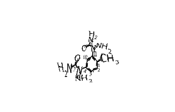 Cc1c[c]c(N(N)C(N)=O)cc1N(N)C(N)=O